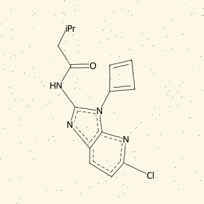 CC(C)CC(=O)Nc1nc2ccc(Cl)nc2n1C1=CC=C1